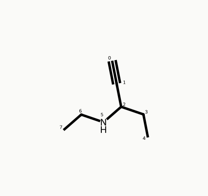 C#CC(CC)NCC